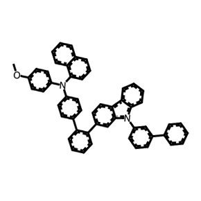 COc1ccc(N(c2ccc(-c3ccccc3-c3ccc4c5ccccc5n(-c5cccc(-c6ccccc6)c5)c4c3)cc2)c2cccc3ccccc23)cc1